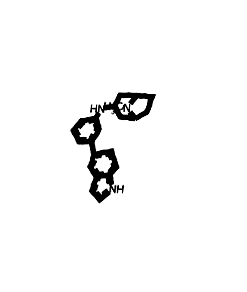 CN1C2CCC1CC(Nc1cccc(-c3ccc4[nH]ccc4c3)c1)C2